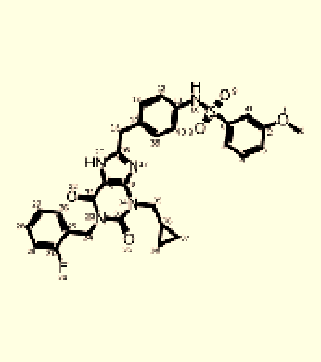 COc1cccc(S(=O)(=O)Nc2ccc(Cc3nc4c([nH]3)c(=O)n(Cc3ccccc3F)c(=O)n4CC3CC3)cc2)c1